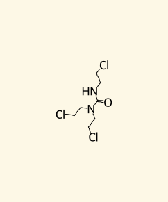 O=C(NCCCl)N(CCCl)CCCl